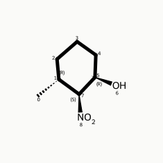 C[C@@H]1CCC[C@@H](O)[C@H]1[N+](=O)[O-]